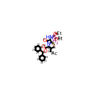 CCO[PH2](NC1C(=O)N2C(C(=O)OC(c3ccccc3)c3ccccc3)=C(CC(C)=O)CSC12)OCC